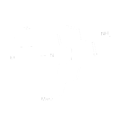 CCc1ccccc1Cn1c2cc(COC)c[c]c2c2c(C(N)=O)cccc21